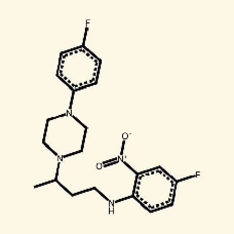 CC(CCNc1ccc(F)cc1[N+](=O)[O-])N1CCN(c2ccc(F)cc2)CC1